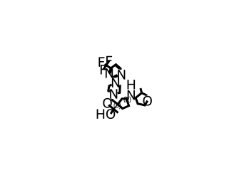 CC1COCCC1N[C@@H]1CC[C@@](C(=O)N2CCN(c3nccc(C(F)(F)F)n3)CC2)(C(C)(C)O)C1